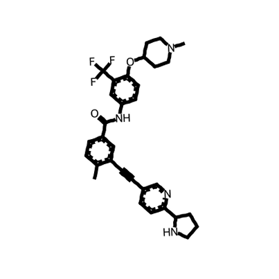 Cc1ccc(C(=O)Nc2ccc(OC3CCN(C)CC3)c(C(F)(F)F)c2)cc1C#Cc1ccc(C2CCCN2)nc1